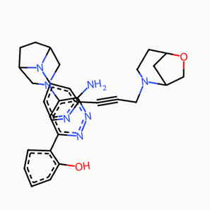 Nc1nnc(-c2ccccc2O)cc1N1CC2CCC(C1)N2c1ccnc(C#CCN2CCC3CC2CO3)c1